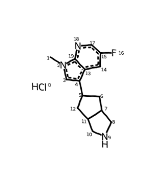 Cl.Cn1cc(C2CC3CNCC3C2)c2cc(F)cnc21